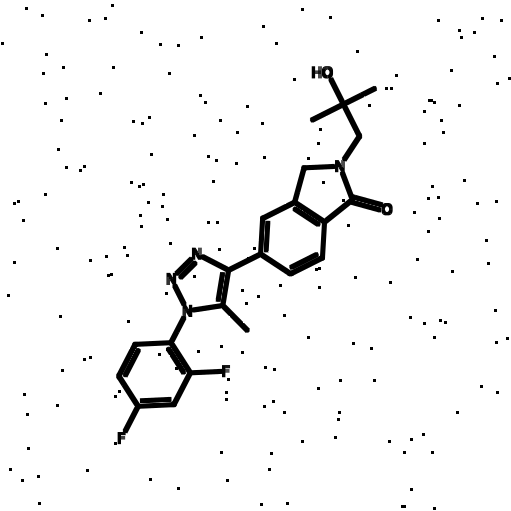 Cc1c(-c2ccc3c(c2)CN(CC(C)(C)O)C3=O)nnn1-c1ccc(F)cc1F